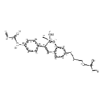 C=CC(=O)OCCCc1ccc2c(c1)O[C@@](C)(O)C(c1ccc(OC(=O)C=C)cc1)=C2